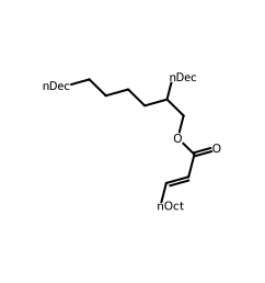 CCCCCCCCC=CC(=O)OCC(CCCCCCCCCC)CCCCCCCCCCCCCC